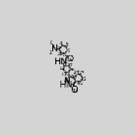 CN(C)c1cccc(C(=O)Nc2ccc(-c3n[nH]c(=O)c4ccccc34)cc2)c1